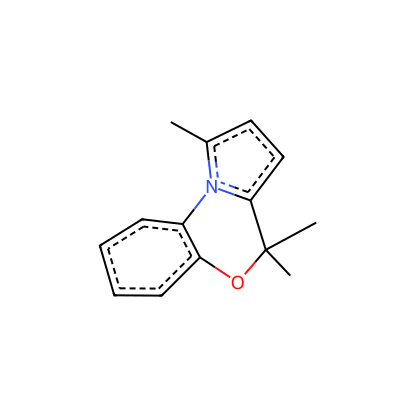 Cc1ccc2n1-c1ccccc1OC2(C)C